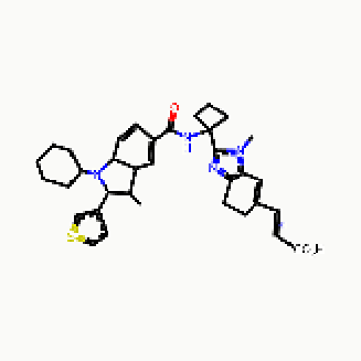 CC1C2C=C(C(=O)NC3(c4nc5c(n4C)C=C(/C=C/C(=O)O)CC5)CCC3)C=CC2N(C2CCCCC2)C1c1ccsc1